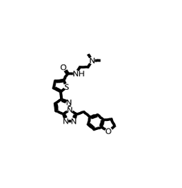 CN(C)CCNC(=O)c1ccc(-c2ccc3nnc(Cc4ccc5c(c4)CCO5)n3n2)s1